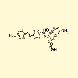 Cc1ccc(N=Nc2ccc(N=Nc3c(SOOO)cc4cc(N)ccc4c3O)cc2)cc1